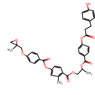 Cc1cc(OC(=O)c2ccc(OCC3(C)CO3)cc2)ccc1C(=O)OCC(C)OC(=O)c1ccc(OC(=O)CCc2ccc(O)cc2)cc1